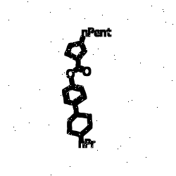 CCCCCC1CCC(C(=O)Oc2ccc(C3CCC(CCC)CC3)cc2)C1